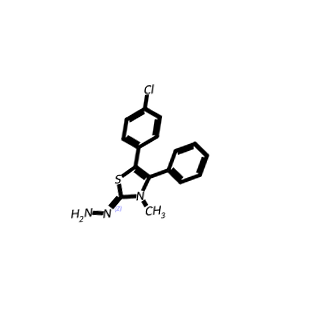 Cn1c(-c2ccccc2)c(-c2ccc(Cl)cc2)s/c1=N\N